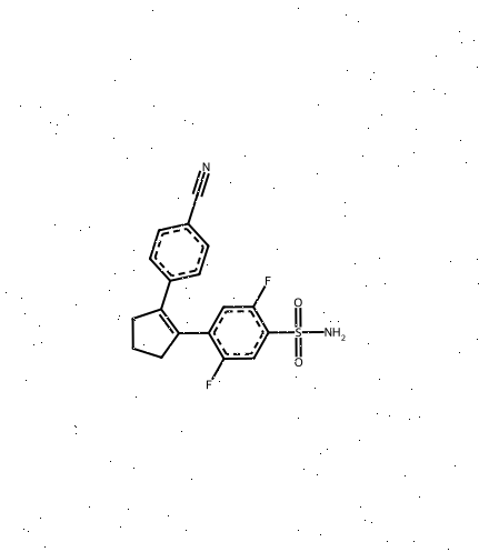 N#Cc1ccc(C2=C(c3cc(F)c(S(N)(=O)=O)cc3F)CCC2)cc1